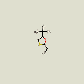 CC[C@@H]1O[C@H](C(C)(C)C)CS1